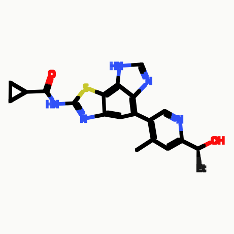 CC[C@H](O)c1cc(C)c(-c2cc3nc(NC(=O)C4CC4)sc3c3[nH]cnc23)cn1